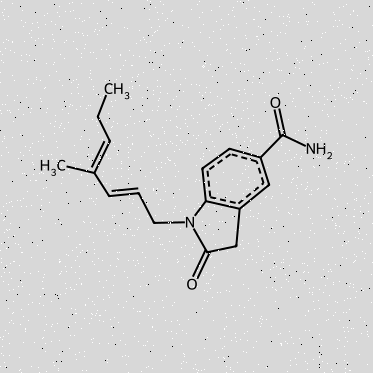 CCC=C(C)C=CCN1C(=O)Cc2cc(C(N)=O)ccc21